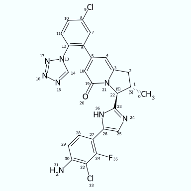 C[C@H]1Cc2cc(-c3cc(Cl)ccc3-n3cnnn3)cc(=O)n2[C@@H]1c1ncc(-c2ccc(N)c(Cl)c2F)[nH]1